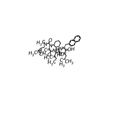 CC[C@H](C)[C@H](NC(=O)[C@H](C)N(C(=O)N(C)CCN(C)C)C1CCCCC1)C(=O)N[C@@H](Cc1ccc2ccccc2c1)[C@@H](O)[C@@H](O)CC(C)C